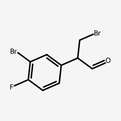 O=CC(CBr)c1ccc(F)c(Br)c1